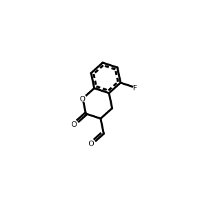 O=CC1Cc2c(F)cccc2OC1=O